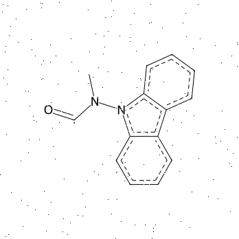 CN([C]=O)n1c2ccccc2c2ccccc21